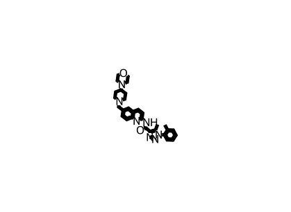 Cc1ccccc1-n1nnc(C(=O)Nc2ccc3cc(CN4CCC(N5CCOCC5)CC4)ccc3n2)c1C